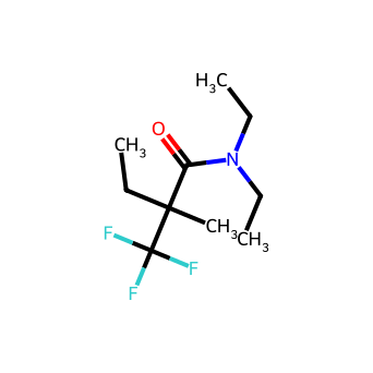 CCN(CC)C(=O)C(C)(CC)C(F)(F)F